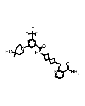 CC1(O)CCN(c2cc(C(=O)NC3CC4(C3)CC(Oc3ncccc3C(N)=O)C4)cc(C(F)(F)F)c2)CC1